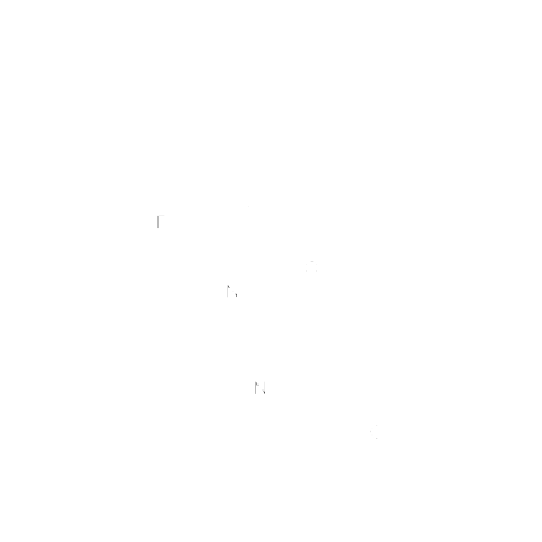 Fc1ccccc1-c1nc2ncc(Cl)cc2o1